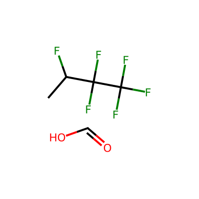 CC(F)C(F)(F)C(F)(F)F.O=CO